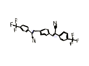 N#C/C(=C\c1ccc(/C=C(\C#N)c2ccc(C(F)(F)F)cc2)cc1)c1ccc(C(F)(F)F)cc1